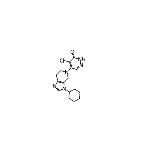 O=c1[nH]ncc(N2CCc3ncn(C4CCCCC4)c3C2)c1Cl